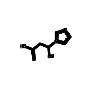 O=C(O)CC(O)n1ccnc1